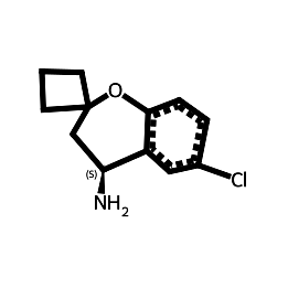 N[C@H]1CC2(CCC2)Oc2ccc(Cl)cc21